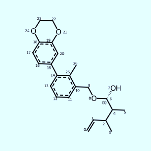 C=CC(C)C(C)[C@@H](O)OCc1cccc(-c2ccc3c(c2)OCCO3)c1C